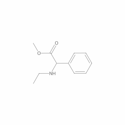 CCNC(C(=O)OC)c1ccccc1